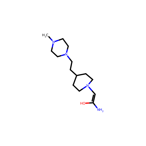 CN1CCN(CCC2CCN(/C=C(/N)O)CC2)CC1